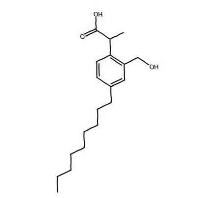 CCCCCCCCCc1ccc(C(C)C(=O)O)c(CO)c1